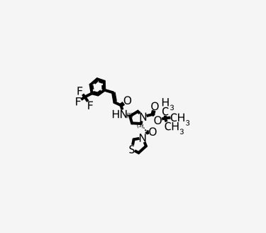 CC(C)(C)OC(=O)N1C[C@@H](NC(=O)C=Cc2cccc(C(F)(F)F)c2)C[C@H]1C(=O)N1CCSC1